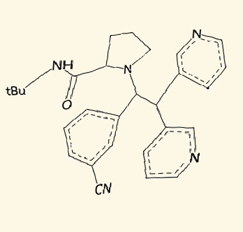 CC(C)(C)NC(=O)C1CCCN1C(c1cccc(C#N)c1)C(c1cccnc1)c1cccnc1